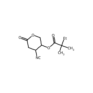 [C-]#[N+]C1CC(=O)OCC1OC(=O)C(C)(C)CC